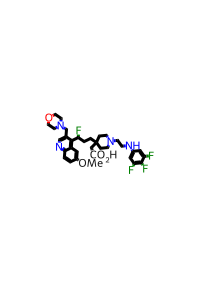 COc1ccc2ncc(CN3CCOCC3)c(C(F)CCC3(CC(=O)O)CCN(CCNc4cc(F)c(F)c(F)c4)CC3)c2c1